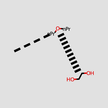 C=C.C=C.C=C.C=C.C=C.C=C.C=C.C=C.C=C.C=C.C=C.C=C.C=C.C=C.CCCOCCC.OCCO